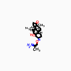 C=C1C[C@@]2(O)CC(=NOC[C@@H](C)N)CC[C@]2(C)[C@H]2CC[C@]3(C)C(=O)CC[C@H]3[C@H]12